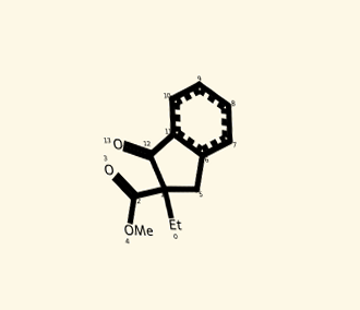 CCC1(C(=O)OC)Cc2ccccc2C1=O